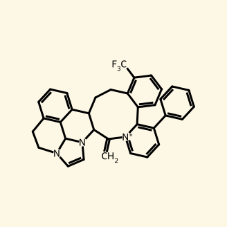 C=C1C2C(CCc3c(cccc3C(F)(F)F)-c3c(-c4ccccc4)ccc[n+]31)c1cccc3c1C1N(C=CN21)CC3